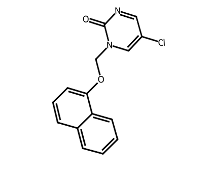 O=c1ncc(Cl)cn1COc1cccc2ccccc12